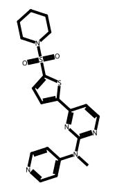 CN(c1ccncc1)c1nccc(-c2ccc(S(=O)(=O)N3CCCCC3)s2)n1